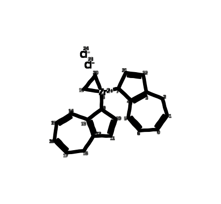 C1=CCC2=C(C=C1)[CH]([Zr+2]1([CH]3C=CC4=C3C=CC=CC4)[CH2][CH2]1)C=C2.[Cl-].[Cl-]